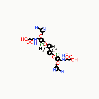 Cc1c(COc2cc(OCc3cncc(C#N)c3)c(CNCC(O)CC(=O)O)cc2Cl)cccc1-c1cccc(OCc2cc(OCc3cncc(C#N)c3)c(CNCC(O)CC(=O)O)cc2Cl)c1C